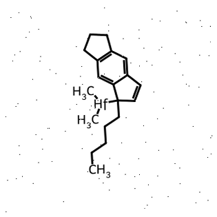 CCCCC[C]1([Hf]([CH3])[CH3])C=Cc2cc3c(cc21)CCC3